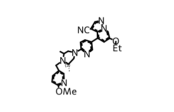 CCOc1cc(-c2ccc(N3CC(C)N(Cc4ccc(OC)nc4)[C@@H](C)C3)nc2)c2c(C#N)cnn2c1